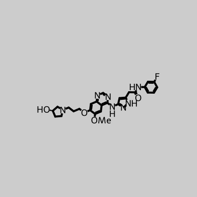 COc1cc2c(Nc3cc(CC(=O)Nc4cccc(F)c4)[nH]n3)ncnc2cc1OCCCN1CC[C@@H](O)C1